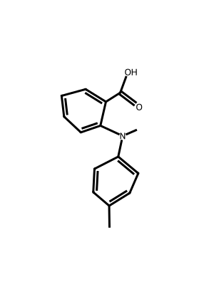 Cc1ccc(N(C)c2ccccc2C(=O)O)cc1